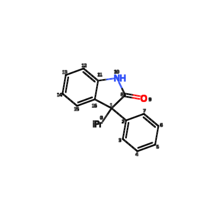 CC(C)C1(c2ccccc2)C(=O)Nc2ccccc21